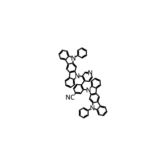 N#Cc1ccc(-c2ccncc2-n2c3ccccc3c3cc4c5ccccc5n(-c5ccccc5)c4cc32)c(-n2c3ccccc3c3cc4c5ccccc5n(-c5ccccc5)c4cc32)c1